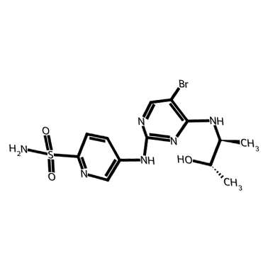 C[C@H](O)[C@H](C)Nc1nc(Nc2ccc(S(N)(=O)=O)nc2)ncc1Br